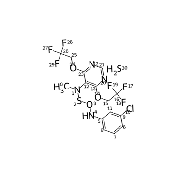 CN(SONc1cccc(Cl)c1)c1c(OCC(F)(F)F)ncnc1OCC(F)(F)F.S